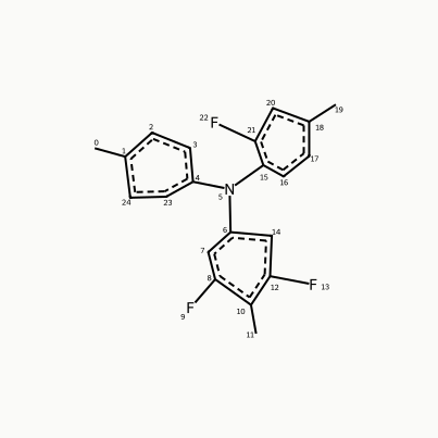 Cc1ccc(N(c2cc(F)c(C)c(F)c2)c2ccc(C)cc2F)cc1